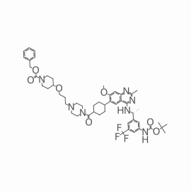 COc1cc2nc(C)nc(N[C@H](C)c3cc(NC(=O)OC(C)(C)C)cc(C(F)(F)F)c3)c2cc1C1CCC(C(=O)N2CCN(CCCOC3CCN(C(=O)OCc4ccccc4)CC3)CC2)CC1